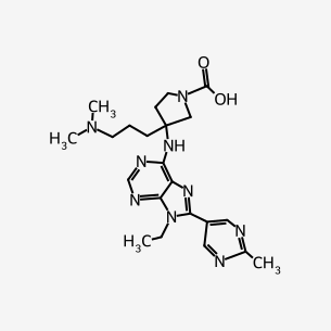 CCn1c(-c2cnc(C)nc2)nc2c(NC3(CCCN(C)C)CCN(C(=O)O)C3)ncnc21